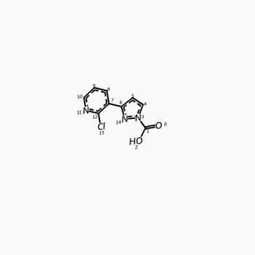 O=C(O)n1ccc(-c2cccnc2Cl)n1